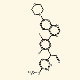 COc1ccc(C(C=O)c2cc(-c3ncnc4cc(N5CCOCC5)ccc34)c(F)cc2F)nn1